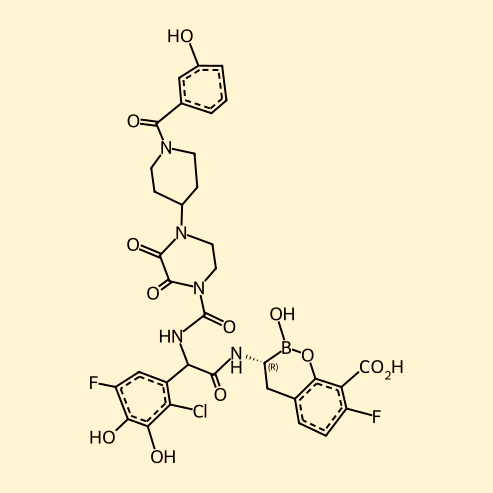 O=C(O)c1c(F)ccc2c1OB(O)[C@@H](NC(=O)C(NC(=O)N1CCN(C3CCN(C(=O)c4cccc(O)c4)CC3)C(=O)C1=O)c1cc(F)c(O)c(O)c1Cl)C2